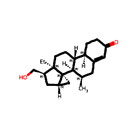 CC[C@]12CC[C@H]3[C@@H]([C@H](C)CC4=CC(=O)CC[C@@H]43)[C@]13C[C@@H]3C[C@H]2CO